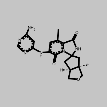 Cc1cc(Nc2cc(N)ncn2)c(=O)n2c1C(=O)NC21C[C@H]2COC[C@H]2C1